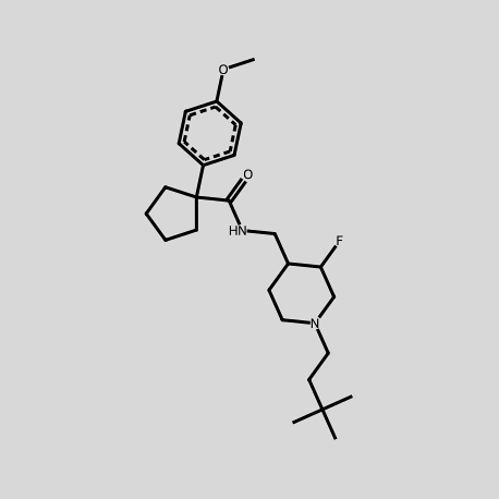 COc1ccc(C2(C(=O)NCC3CCN(CCC(C)(C)C)CC3F)CCCC2)cc1